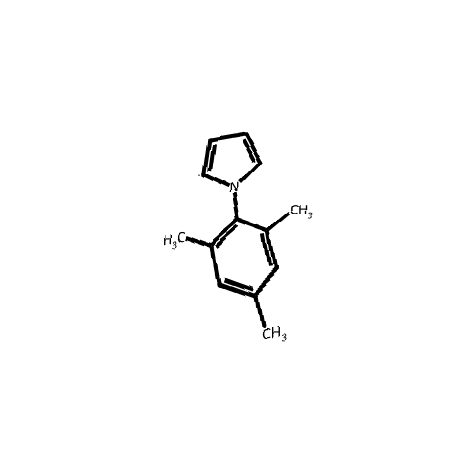 Cc1cc(C)c(-n2[c]ccc2)c(C)c1